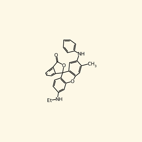 CCNc1ccc2c(c1)Oc1cc(C)c(Nc3ccccc3)cc1C21OC(=O)c2ccccc21